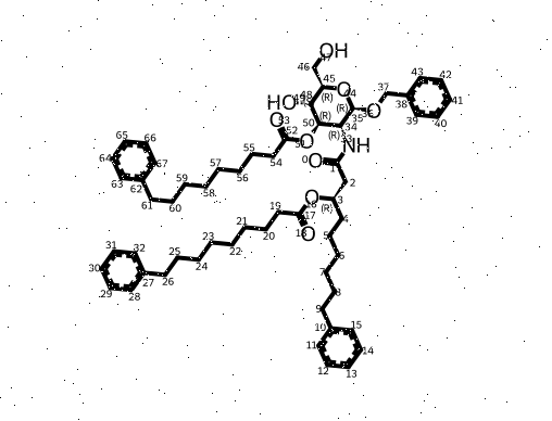 O=C(C[C@@H](CCCCCCc1ccccc1)OC(=O)CCCCCCCCc1ccccc1)N[C@H]1[C@H](OCc2ccccc2)O[C@H](CO)[C@@H](O)[C@@H]1OC(=O)CCCCCCCCc1ccccc1